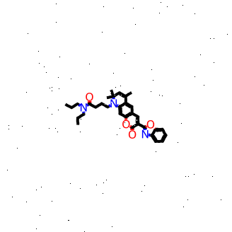 CCCN(CCC)C(=O)CCCN1c2cc3oc(=O)c(-c4nc5ccccc5o4)cc3cc2C(C)=CC1(C)C